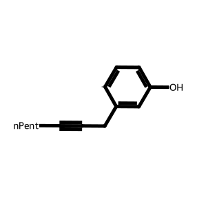 CCCCCC#CCc1[c]ccc(O)c1